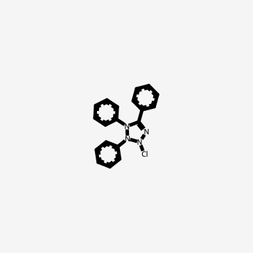 ClN1N=C(c2ccccc2)N(c2ccccc2)N1c1ccccc1